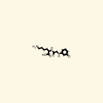 NCCCCC(NC(=O)CNc1cccc(Cl)c1)C(=O)O